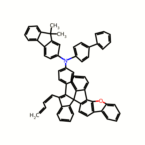 C=C/C=C\C1=C(c2ccc(N(c3ccc(-c4ccccc4)cc3)c3ccc4c(c3)C(C)(C)c3ccccc3-4)cc2)C2(c3ccccc31)c1ccccc1-c1c2ccc2c1oc1ccccc12